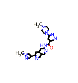 CN1CCN(c2cc(C(=O)Nc3cc4cc(-c5cnn(C)c5)ncc4cn3)cnn2)CC1